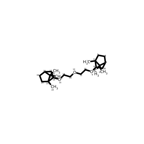 CC1(C)C2CCC1(C)C(OCCOCCOC1CC3CCC1(C)C3(C)C)C2